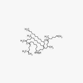 C=CCCCCCCCCC(C)CC(CCCCCCC(C)CCC(=C)C)=C(CCCC(CCCCCCC)CCCCCCCCCCC(=C)C)CC(C)CCCC(C)CCCC=C